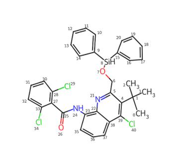 CC(C)(C)c1c(CO[SiH](c2ccccc2)c2ccccc2)nc2c(NC(=O)c3c(Cl)cccc3Cl)cccc2c1Cl